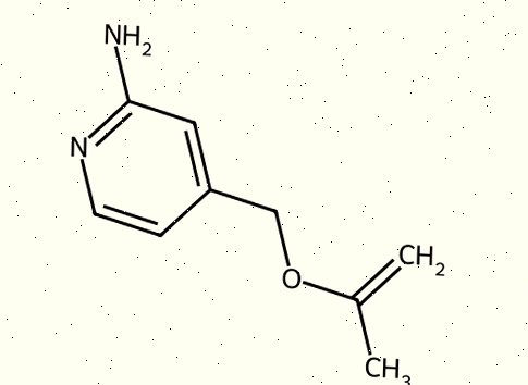 C=C(C)OCc1ccnc(N)c1